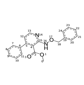 COC(=O)c1c(-c2ccccc2)ccnc1NOCc1ccccc1